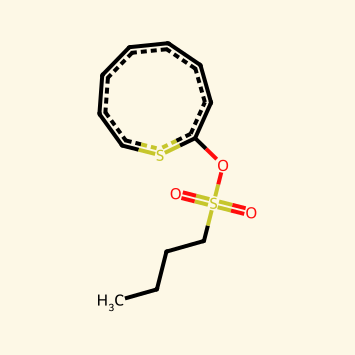 CCCCS(=O)(=O)Oc1cccccccs1